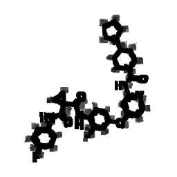 O=C(Nc1cc(Oc2ccc(NC(=O)C3(C(=O)Nc4ccc(F)cc4)CC3)c(F)c2)ccn1)N1CCC(N2CCCC2)CC1